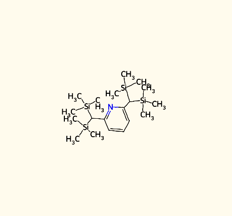 C[Si](C)(C)C(c1cccc(C([Si](C)(C)C)[Si](C)(C)C)n1)[Si](C)(C)C